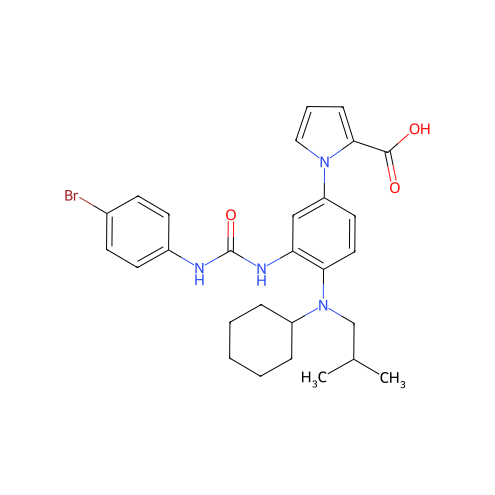 CC(C)CN(c1ccc(-n2cccc2C(=O)O)cc1NC(=O)Nc1ccc(Br)cc1)C1CCCCC1